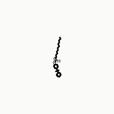 CCCCCCCCCCCCOPOc1ccc(C(C)(C)c2ccccc2)cc1